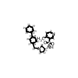 Cc1ccncc1S(=O)(=O)N[C@@H]1CCN(Cc2ccc(-c3ccccc3)cc2)C1